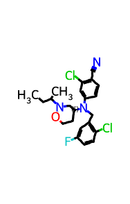 CCC(C)N1C[C@@H](N(Cc2cc(F)ccc2Cl)c2ccc(C#N)c(Cl)c2)CCO1